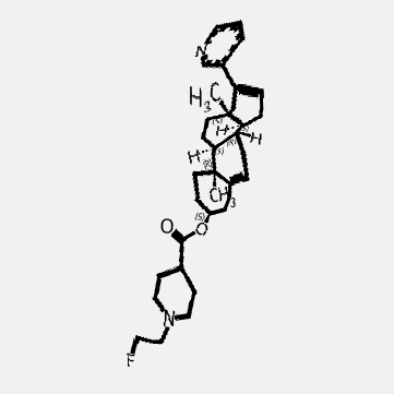 C[C@]12CC[C@H](OC(=O)C3CCN(CCF)CC3)CC1=CC[C@@H]1[C@@H]2CC[C@]2(C)C(c3cccnc3)=CC[C@@H]12